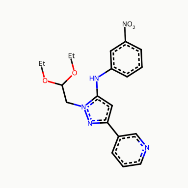 CCOC(Cn1nc(-c2cccnc2)cc1Nc1cccc([N+](=O)[O-])c1)OCC